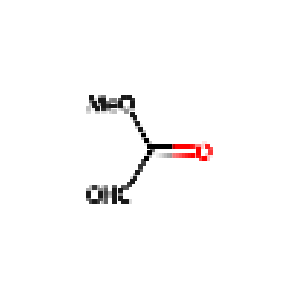 [CH2]OC(=O)C=O